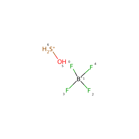 F[B-](F)(F)F.O[SH2+]